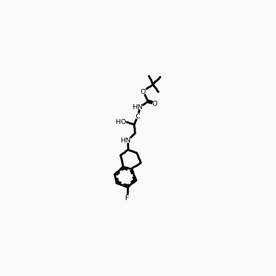 CC(C)(C)OC(=O)NCC(O)CNC1CCc2cc(F)ccc2C1